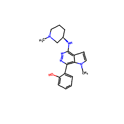 CN1CCC[C@@H](Nc2nnc(-c3ccccc3O)c3c2ccn3C)C1